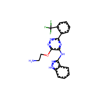 NCCOc1nnc(-c2ccccc2C(F)(F)F)nc1Nc1n[nH]c2ccccc12